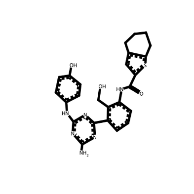 Nc1nc(Nc2ccc(O)cc2)nc(-c2cccc(NC(=O)c3cc4c(s3)CCCC4)c2CO)n1